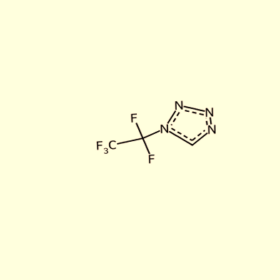 FC(F)(F)C(F)(F)n1cnnn1